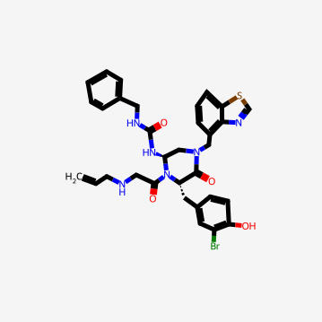 C=CCNCC(=O)N1[C@@H](NC(=O)NCc2ccccc2)CN(Cc2cccc3scnc23)C(=O)[C@@H]1Cc1ccc(O)c(Br)c1